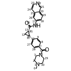 CN1CCN(C(=O)c2ccc([C@@H]3C[C@H]3C(=O)Nc3ccc4cnccc4c3)cc2)CC1